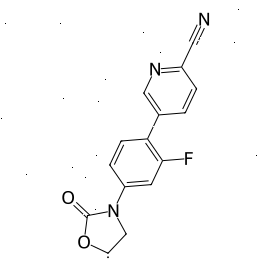 N#Cc1ccc(-c2ccc(N3C[CH]OC3=O)cc2F)cn1